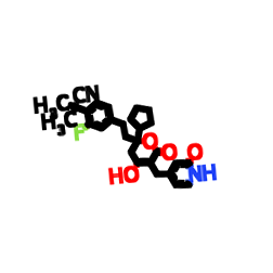 CC(C)(C#N)c1ccc(CCC2(C3CCCC3)CC(O)=C(Cc3cc[nH]c(=O)c3)C(=O)O2)cc1F